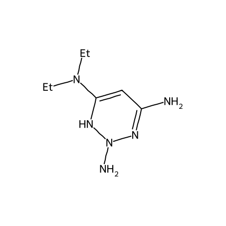 CCN(CC)C1=CC(N)=NN(N)N1